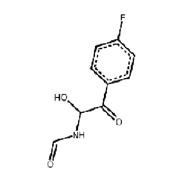 O=CNC(O)C(=O)c1ccc(F)cc1